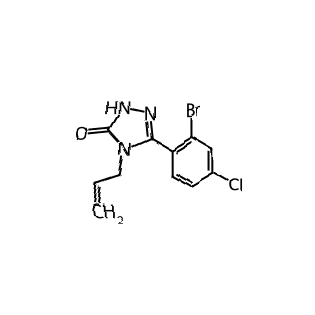 C=CCn1c(-c2ccc(Cl)cc2Br)n[nH]c1=O